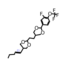 CCC/C=C/C1COC(CCC2COC(c3ccc(OC(F)(F)F)c(F)c3)OC2)OC1